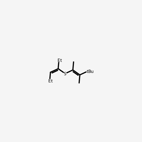 CC/C=C(/CC)S/C(C)=C(\C)C(C)(C)C